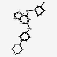 Cc1cccc(Nc2nc(Nc3ccc(N4CCOCC4)cc3)nc3[nH]cnc23)c1